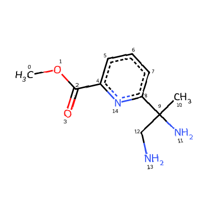 COC(=O)c1cccc(C(C)(N)CN)n1